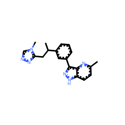 Cc1ccc2[nH]nc(-c3cccc(C(C)Cc4nncn4C)c3)c2n1